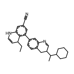 CCC1C=CNc2cc(C#N)cc(-c3ccc4c(c3)N=CC(C(C)C3CCCCC3)C4)c21